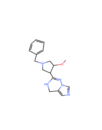 COC1CN(Cc2ccccc2)CC1C1=Nn2cncc2CN1